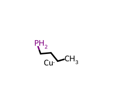 CCCCP.[Cu]